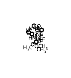 CCOc1cc([C@](Nc2ccc3c(N)nccc3c2)(OC(=O)C(F)(F)F)C(=O)NCc2ccccc2S(=O)(=O)N2CCCCC2)ccc1OC(C)C